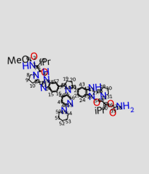 COC(=O)N[C@H](C(=O)N1CCC[C@H]1c1nc2ccc([C@H]3CC[C@H](c4ccc5nc([C@@H]6CCCN6C(=O)[C@@H](OC(N)=O)C(C)C)[nH]c5c4)N3c3ccc(N4CCCCC4)nc3)cc2[nH]1)C(C)C